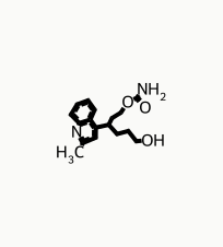 Cc1cc(C(CCCO)CCOC(N)=O)c2ccccc2n1